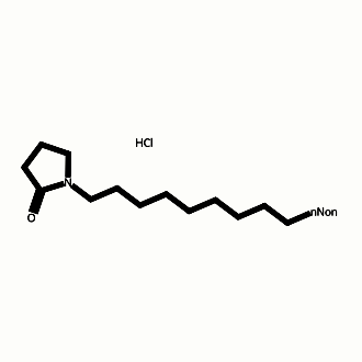 CCCCCCCCCCCCCCCCCCN1CCCC1=O.Cl